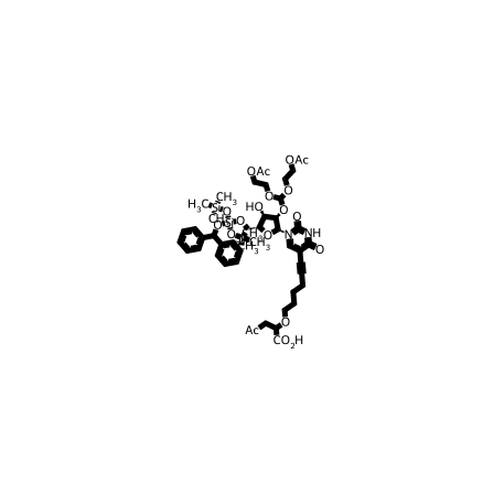 CC(=O)CC(OCCCCC#Cc1cn([C@@H]2O[C@H](CO[Si](OC(c3ccccc3)c3ccccc3)(O[Si](C)(C)C)O[Si](C)(C)C)[C@@H](O)[C@H]2OC(OCCOC(C)=O)OCCOC(C)=O)c(=O)[nH]c1=O)C(=O)O